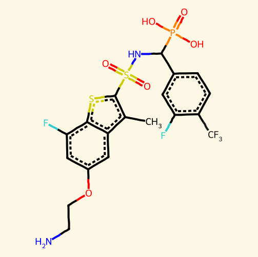 Cc1c(S(=O)(=O)NC(c2ccc(C(F)(F)F)c(F)c2)P(=O)(O)O)sc2c(F)cc(OCCN)cc12